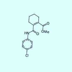 COC(=O)C1=C(C(=O)Nc2ccc(Cl)cc2)CCCC1